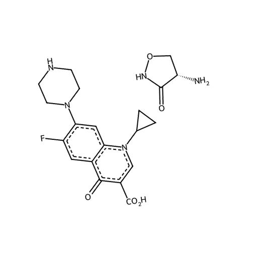 N[C@H]1CONC1=O.O=C(O)c1cn(C2CC2)c2cc(N3CCNCC3)c(F)cc2c1=O